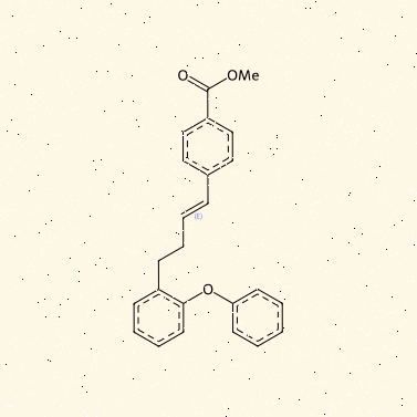 COC(=O)c1ccc(/C=C/CCc2ccccc2Oc2ccccc2)cc1